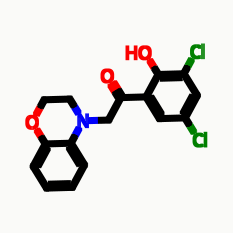 O=C(CN1CCOc2ccccc21)c1cc(Cl)cc(Cl)c1O